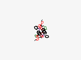 CCOC(=O)C(C)Oc1c(Cl)ccc(P(=O)(c2ccccc2)c2ccccc2)c1-c1c(P(=O)(c2ccccc2)c2ccccc2)ccc(Cl)c1O[C@@H](C)C(=O)OCC